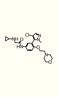 Cn1ncc(Cl)c1-c1cc(NC(=O)CNC2CC2)ccc1OCCN1CCOCC1